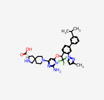 Cc1ccn(-c2cc(-c3cccc(C(C)C)c3)ccc2C(Oc2cc(N3CCC4(CC3)CN[C@H](C(=O)O)C4)nc(N)n2)C(F)(F)F)n1